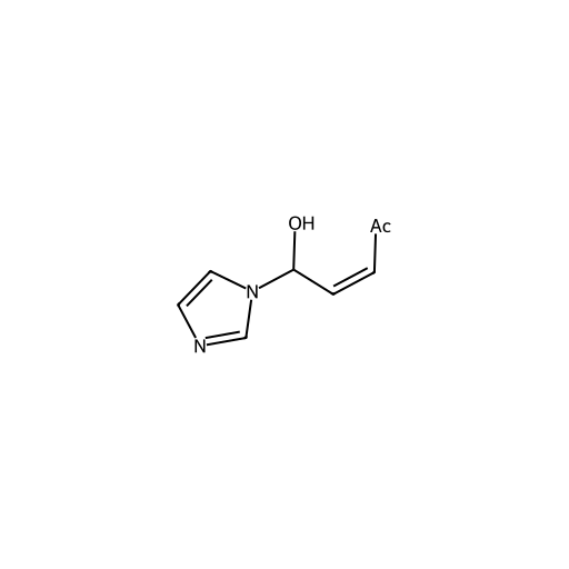 CC(=O)/C=C\C(O)n1ccnc1